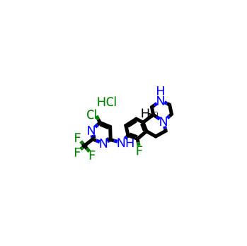 Cl.Fc1c(Nc2cc(Cl)nc(C(F)(F)F)n2)ccc2c1CCN1CCNC[C@H]21